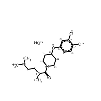 CN(C)CCN(C)C(=O)N1CCC(Oc2ccc(Cl)c(Cl)c2)CC1.Cl